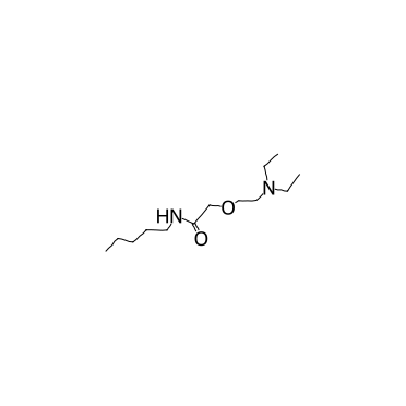 CCCCCNC(=O)COCCN(CC)CC